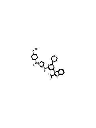 O=C([C@H]1CC[C@H](CO)CC1)N1CC[C@H](Nc2cc(-n3c(C(F)F)nc4ccccc43)nc(N3CCOCC3)n2)C1